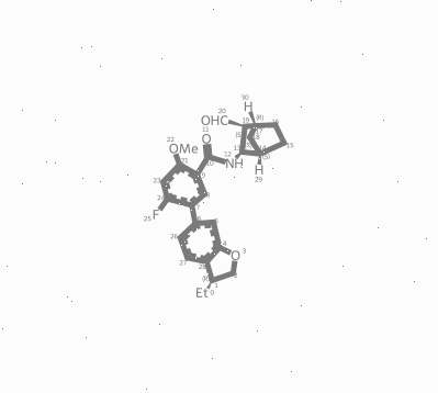 CC[C@H]1COc2cc(-c3cc(C(=O)N[C@@H]4[C@H]5CC[C@H](C5)[C@@H]4C=O)c(OC)cc3F)ccc21